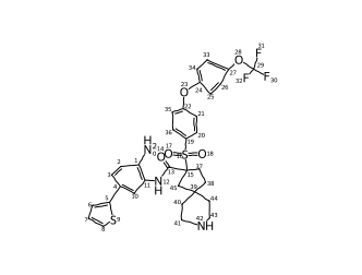 Nc1ccc(-c2cccs2)cc1NC(=O)C1(S(=O)(=O)c2ccc(Oc3ccc(OC(F)(F)F)cc3)cc2)CCC2(CCNCC2)C1